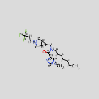 CCCCCCCN(CC1C2CN(CCC(F)(F)F)CC21)C(=O)c1cn(C)cn1